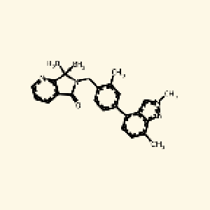 BC1(B)c2ncccc2C(=O)N1Cc1ccc(-c2ccc(C)c3nn(C)cc23)cc1C